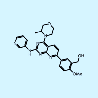 COc1ccc(-c2ccc3c(N4CCOC[C@@H]4C)nc(Nc4cccnc4)nc3n2)cc1CO